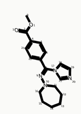 COC(=O)c1ccc(C(=NN2CCCCCC2)n2ccnc2)cc1